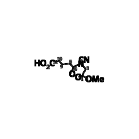 COC(=O)CN(C#N)C(=O)CCCC(=O)O